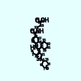 CCc1sc(C2CCSCC2)cc1C(Nc1ccc(C(=O)NCCC(=O)O)cc1)C1CCCCC1